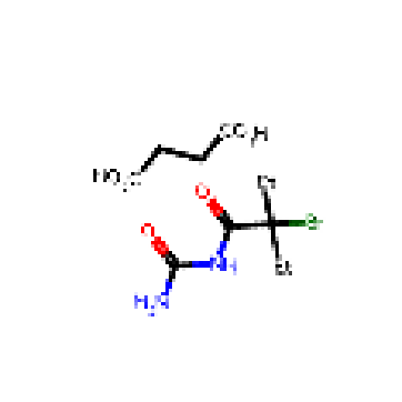 CCC(Br)(CC)C(=O)NC(N)=O.O=C(O)CCC(=O)O